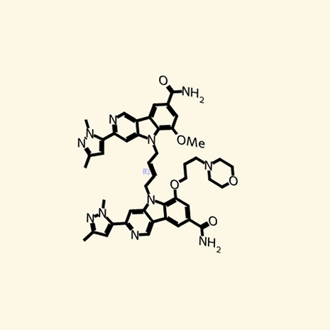 COc1cc(C(N)=O)cc2c3cnc(-c4cc(C)nn4C)cc3n(C/C=C/Cn3c4cc(-c5cc(C)nn5C)ncc4c4cc(C(N)=O)cc(OCCCN5CCOCC5)c43)c12